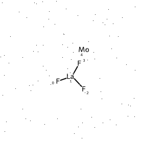 [F][La]([F])[F].[Mo]